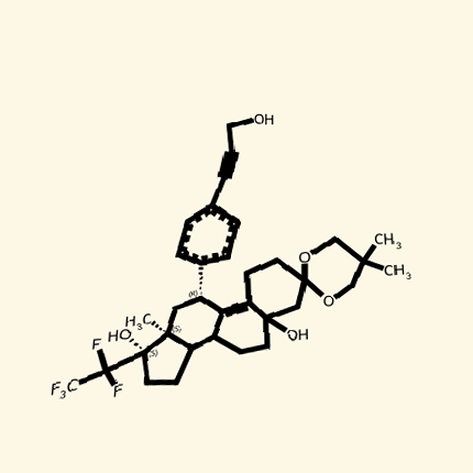 CC1(C)COC2(CCC3=C4C(CCC3(O)C2)C2CC[C@@](O)(C(F)(F)C(F)(F)F)[C@@]2(C)C[C@@H]4c2ccc(C#CCO)cc2)OC1